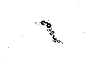 Cc1ccc(Cc2ccc(OC(=O)N3CCN(CCc4cn(C)cn4)CC3)cc2)nc1